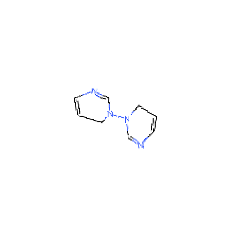 C1=CN=CN(N2C=NC=CC2)C1